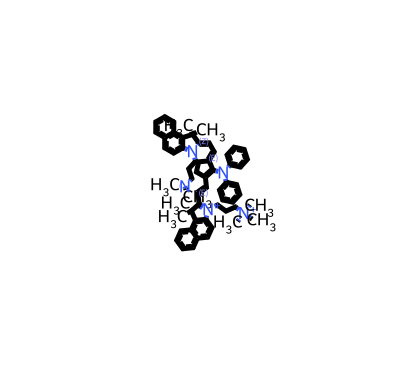 CN(C)CCCN1/C(=C\C=C2/CCC(/C=C/C3=[N+](CCC[N+](C)(C)C)c4ccc5ccccc5c4C3(C)C)=C2N(c2ccccc2)c2ccccc2)C(C)(C)c2c1ccc1ccccc21